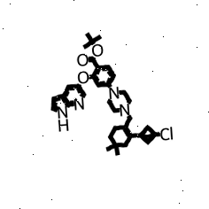 CC1(C)CCC(CN2CCN(c3ccc(C(=O)OC(C)(C)C)c(Oc4cnc5[nH]ccc5c4)c3)CC2)=C(C23CC(Cl)(C2)C3)C1